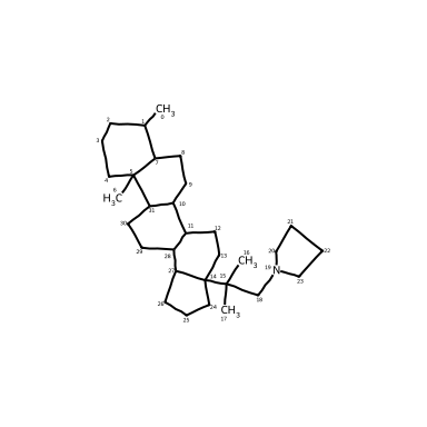 CC1CCCC2(C)C1CCC1C3CCC4(C(C)(C)CN5CCCC5)CCCC4C3CCC12